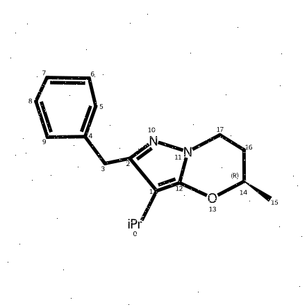 CC(C)c1c(Cc2ccccc2)nn2c1O[C@H](C)CC2